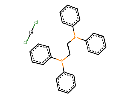 [Cl][Fe][Cl].c1ccc(P(CCP(c2ccccc2)c2ccccc2)c2ccccc2)cc1